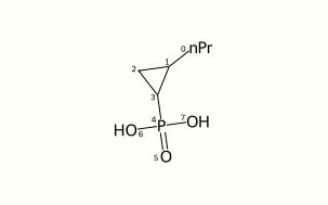 CCCC1CC1P(=O)(O)O